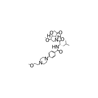 COCCN1CCN(c2ccc(C(=O)N[C@@H](CC(C)C)C(=O)N3C[C@@H](OC)[C@H]4OCC(=O)[C@H]43)cc2)CC1